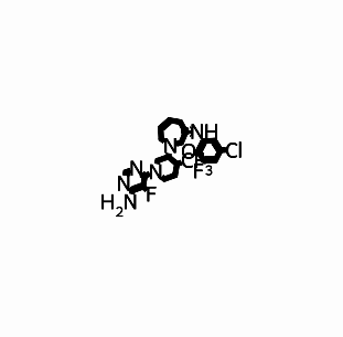 Nc1ncnc(N2CCC(C(F)(F)F)C(N3CC=CC[C@@H](Nc4cc(F)cc(Cl)c4)C3=O)C2)c1F